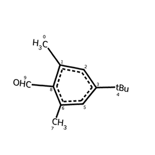 Cc1cc(C(C)(C)C)cc(C)c1C=O